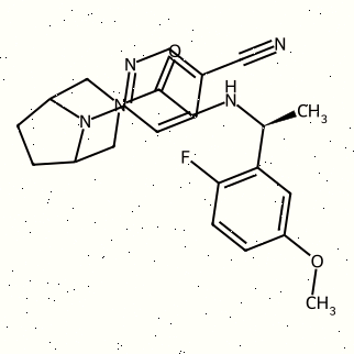 COc1ccc(F)c([C@H](C)NCC(=O)N2CC3CCC(C2)N3c2ccc(C#N)cn2)c1